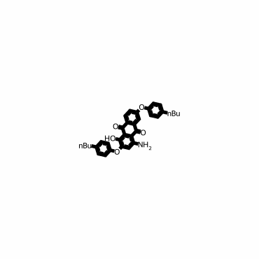 CCCCc1ccc(Oc2ccc3c(c2)C(=O)c2c(N)cc(Oc4ccc(CCCC)cc4)c(O)c2C3=O)cc1